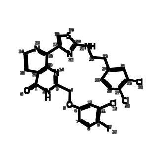 O=c1[nH]c(COc2ccc(F)c(Cl)c2)nc2c(-c3csc(NCCc4ccc(Cl)c(Cl)c4)n3)nccc12